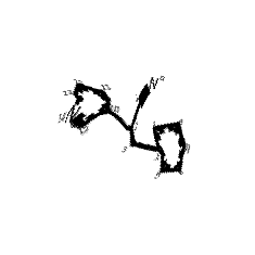 N#CC(Cc1ccccc1)c1cccnc1